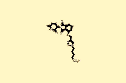 O=C(O)CCCCn1cc(COc2cccc3c2C(=O)N(C2CCC(=O)NC2=O)C3=O)nn1